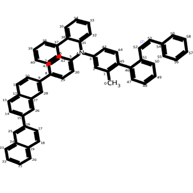 Cc1cc(N(c2ccc(-c3ccc4ccc(-c5ccc6ccccc6c5)cc4c3)cc2)c2ccccc2-c2ccccc2)ccc1-c1ccccc1/C=C\c1ccccc1